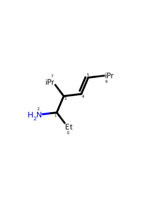 CCC(N)C(C=CC(C)C)C(C)C